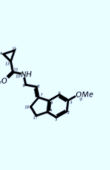 COc1ccc2c(c1)/C(=C/CNC(=O)C1CC1)CC2